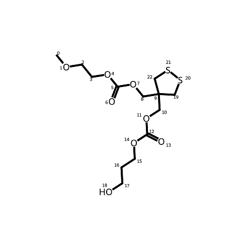 COCCOC(=O)OCC1(COC(=O)OCCCO)CSSC1